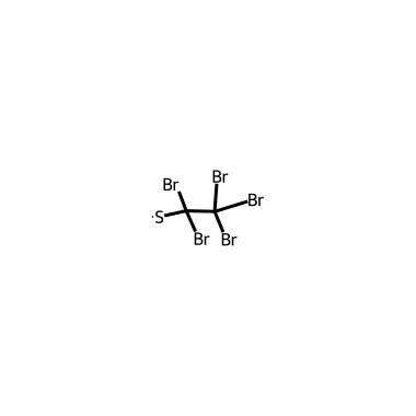 [S]C(Br)(Br)C(Br)(Br)Br